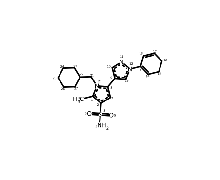 Cc1c(S(N)(=O)=O)cc(-c2cnn(C3=CCCC=C3)c2)n1CC1CCCCC1